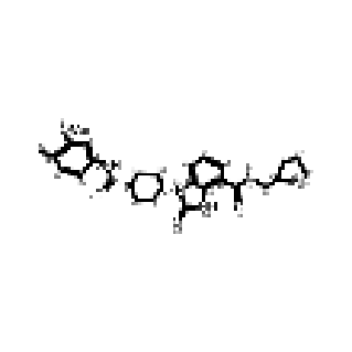 COc1cc(NC(=O)[C@H]2CC[C@@H](n3c(=O)[nH]c4c(C(=O)NCC5CCCN5)cccc43)CC2)ccc1C